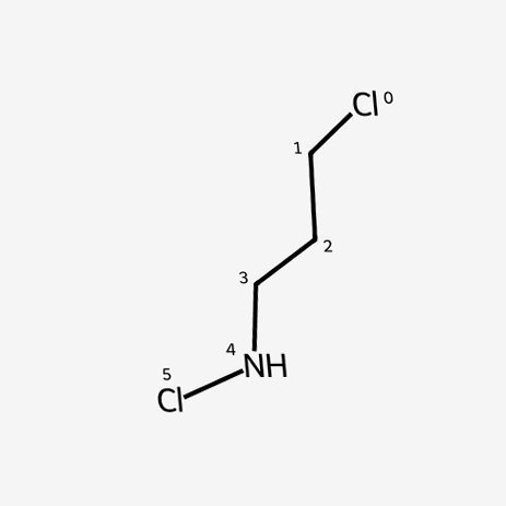 ClCCCNCl